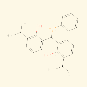 CC(C)c1cccc(C(Pc2ccccc2)c2cccc(C(C)C)c2O)c1O